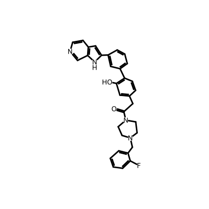 O=C(Cc1ccc(-c2cccc(-c3cc4ccncc4[nH]3)c2)c(O)c1)N1CCN(Cc2ccccc2F)CC1